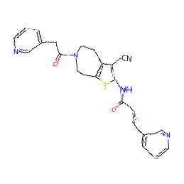 N#Cc1c(NC(=O)/C=C/c2cccnc2)sc2c1CCN(C(=O)Cc1cccnc1)C2